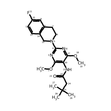 COc1nc(N2CCc3cc(F)ccc3C2)nc(OC)c1NC(=O)CC(C)(C)C